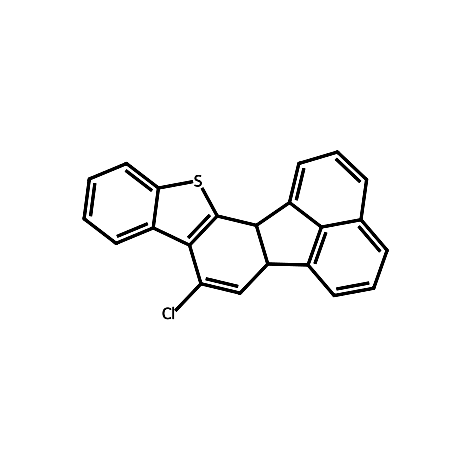 ClC1=CC2c3cccc4cccc(c34)C2c2sc3ccccc3c21